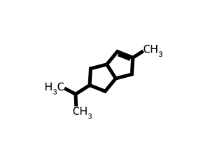 CC1=CC2CC(C(C)C)CC2C1